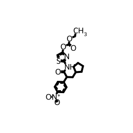 CCOC(=O)Oc1csc(NC(=O)C(CC2CCCC2)c2ccc([N+](=O)[O-])cc2)n1